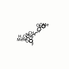 CNC(=O)C1=C(C)N=C(C)N(CCCCCN2CCC(C(=O)OC)(c3ccccc3)CC2)C1c1ccc(F)cc1F